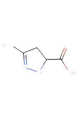 CC1=NNC(C(=O)O)C1